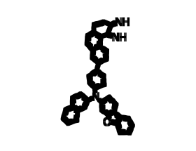 N=C1C=Cc2ccc3cc(-c4ccc(N(c5ccc6ccccc6c5)c5ccc6c(c5)oc5ccccc56)cc4)ccc3c2C1=N